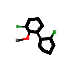 CCOc1c(F)cccc1-c1ccc[c]c1Cl